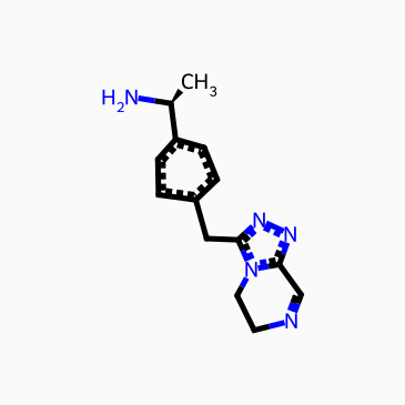 C[C@H](N)c1ccc(Cc2nnc3n2CCN=C3)cc1